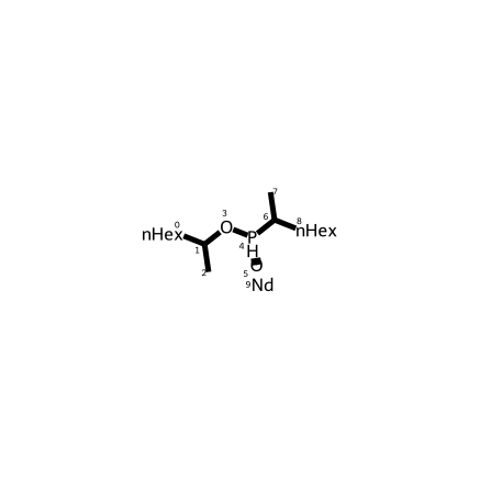 CCCCCCC(C)O[PH](=O)C(C)CCCCCC.[Nd]